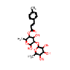 Cc1ccc(/C=C/C(=O)OC2C(C)OC(O)C(OC3OC(C)C(O)C(O)C3O)C2O)cc1